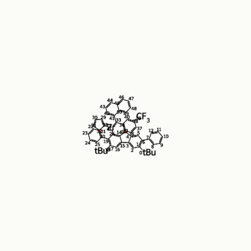 CC(C)(C)c1cc2c(cc1-c1ccccc1)Cc1c-2cc(C(C)(C)C)c(-c2ccccc2)[c]1/[Zr]([C]1=CC=CC1)=[C](\c1cccc(C(F)(F)F)c1)c1cccc2ccccc12